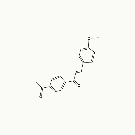 COc1ccc(C=CC(=O)c2ccc(C(C)=O)cc2)cc1